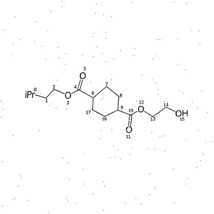 CC(C)CCOC(=O)C1CCC(C(=O)OCCO)CC1